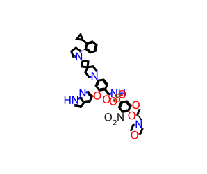 O=C(NS(=O)(=O)c1cc2c(c([N+](=O)[O-])c1)O[C@H](CN1CCOCC1)CO2)c1ccc(N2CCC3(CC2)CC(N2CCC[C@@H]2c2ccccc2C2CC2)C3)cc1Oc1cnc2[nH]ccc2c1